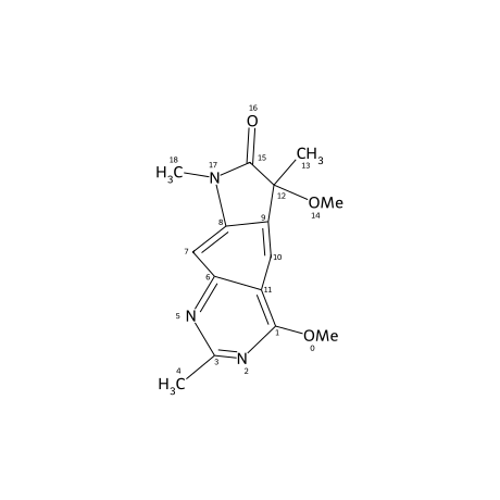 COc1nc(C)nc2cc3c(cc12)C(C)(OC)C(=O)N3C